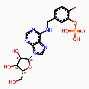 O=P(O)(O)Oc1cc(CNc2ncnc3c2ncn3[C@@H]2O[C@H](CO)[C@@H](O)[C@H]2O)ccc1I